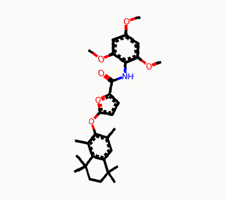 COc1cc(OC)c(NC(=O)c2ccc(Oc3c(C)cc4c(c3C)C(C)(C)CCC4(C)C)o2)c(OC)c1